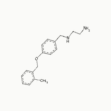 Cc1ccccc1COc1ccc(CNCCN)cc1